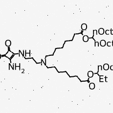 CCCCCCCCC(CC)OC(=O)CCCCCCCN(CCCCCCCC(=O)OC(CCCCCCCC)CCCCCCCC)CCCNc1c(N)c(=O)c1=O